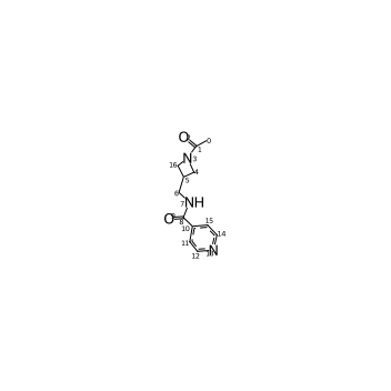 CC(=O)N1CC(CNC(=O)c2ccncc2)C1